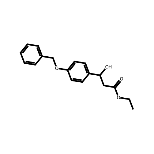 CCOC(=O)CC(O)c1ccc(OCc2ccccc2)cc1